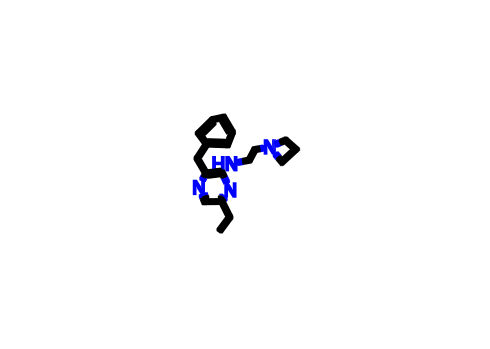 CCc1cnc(Cc2ccccc2)c(NCCN2CCC2)n1